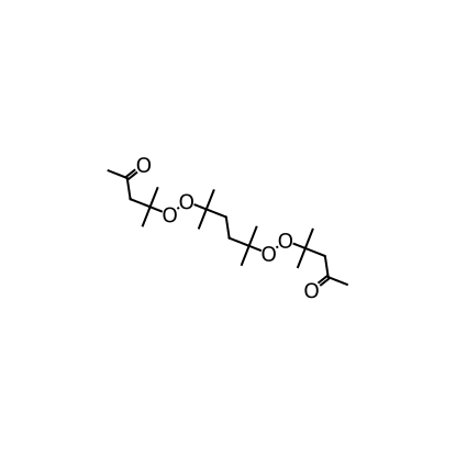 CC(=O)CC(C)(C)OOC(C)(C)CCC(C)(C)OOC(C)(C)CC(C)=O